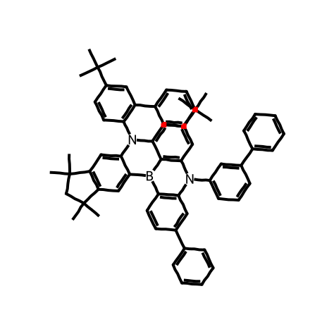 CC(C)(C)c1ccc(N2c3cc4c(cc3B3c5ccc(-c6ccccc6)cc5N(c5cccc(-c6ccccc6)c5)c5cc(C(C)(C)C)cc2c53)C(C)(C)CC4(C)C)c(-c2ccccc2)c1